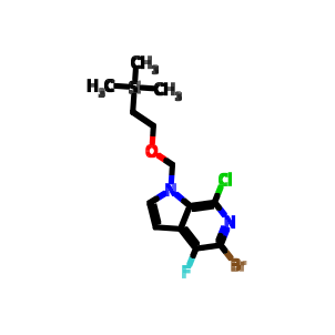 C[Si](C)(C)CCOCn1ccc2c(F)c(Br)nc(Cl)c21